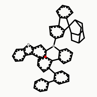 c1ccc(-c2ccccc2-c2ccccc2-c2ccccc2N(c2ccc3c(c2)C2(c4ccccc4-3)C3CC4CC(C3)CC2C4)c2ccc3c(c2)oc2ccccc23)cc1